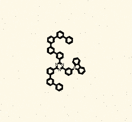 c1ccc(-c2cccc(-c3cccc(-c4cccc(-c5cccc(-c6nc(-c7cccc(-c8cccc(-c9ccccc9)c8)c7)nc(-c7cccc(-n8c9ccccc9c9ccccc98)c7)n6)c5)c4)c3)c2)cc1